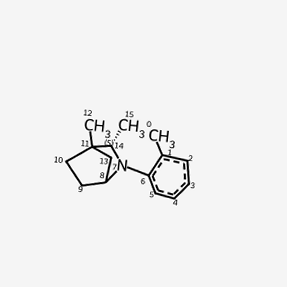 Cc1ccccc1N1C2CCC(C)(C2)[C@@H]1C